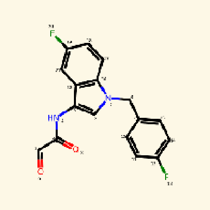 O=CC(=O)Nc1cn(Cc2ccc(F)cc2)c2ccc(F)cc12